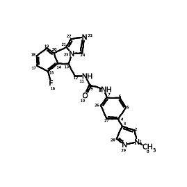 Cn1cc(-c2ccc(NC(=O)NCC3c4c(F)cccc4-c4cncn43)cc2)cn1